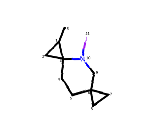 CC1CC12CCC1(CC1)CN2I